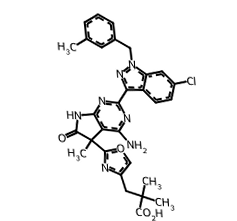 Cc1cccc(Cn2nc(-c3nc(N)c4c(n3)NC(=O)C4(C)c3nc(CC(C)(C)C(=O)O)co3)c3ccc(Cl)cc32)c1